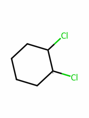 Cl[C]1CCCCC1Cl